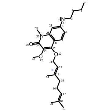 CCCCNc1ccc2c(OC/C=C(\C)CCC=C(C)C)c(OC)c(=O)n(C)c2c1